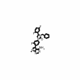 Cn1cc(-c2ccc(N3CC(c4cc(F)ccc4F)N(Cc4ccccc4)C3=O)cc2F)c2c(N)ncnc21